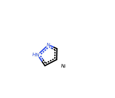 [Ni].c1cn[nH]c1